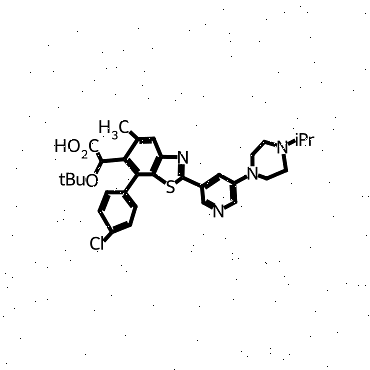 Cc1cc2nc(-c3cncc(N4CCN(C(C)C)CC4)c3)sc2c(-c2ccc(Cl)cc2)c1C(OC(C)(C)C)C(=O)O